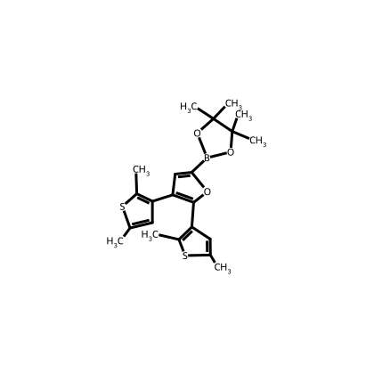 Cc1cc(-c2cc(B3OC(C)(C)C(C)(C)O3)oc2-c2cc(C)sc2C)c(C)s1